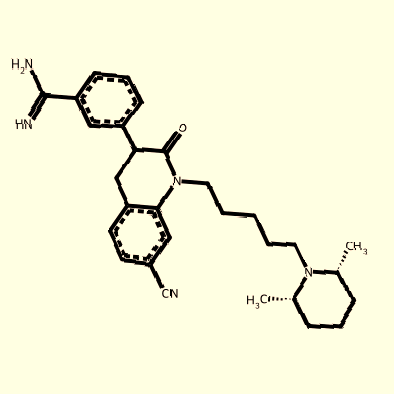 C[C@@H]1CCC[C@H](C)N1CCCCCN1C(=O)C(c2cccc(C(=N)N)c2)Cc2ccc(C#N)cc21